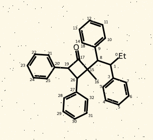 CCC(c1ccccc1)C(c1ccccc1)C1(C)C(=O)C(c2ccccc2)C1c1ccccc1